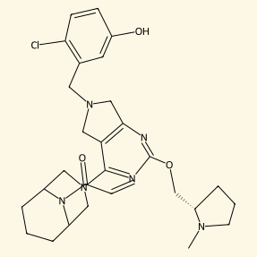 C=CC(=O)N1C2CCCC1CN(c1nc(OC[C@@H]3CCCN3C)nc3c1CN(Cc1cc(O)ccc1Cl)C3)C2